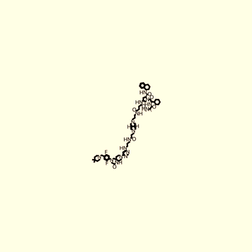 CN[C@@H](C)C(=O)N[C@H](C(=O)N1C[C@@H](NC(=O)CCC(=O)NCCCN2C[C@@H]3CN(CCC(=O)NCCCNc4cc(N5CCC6(CC5)CN(c5cc(F)c(CN7CCC(C)(C)CC7)cc5F)CC(=O)N6)ncn4)C[C@@H]3C2)C[C@H]1C(=O)NC1CCCc2ccccc21)C1CCCCC1